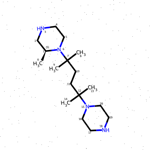 C[C@H]1CNCCN1C(C)(C)CCC(C)(C)N1CCNCC1